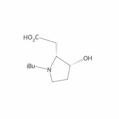 CCC(C)N1CC[C@@H](O)[C@H]1CC(=O)O